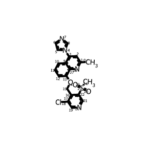 Cc1cc(-n2ccnc2)c2cccc(OCc3c(Cl)cncc3S(C)(=O)=O)c2n1